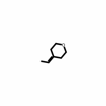 [CH2]C=C1CCOCC1